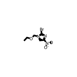 CCOCn1cc([N+](=O)[O-])nc1Br